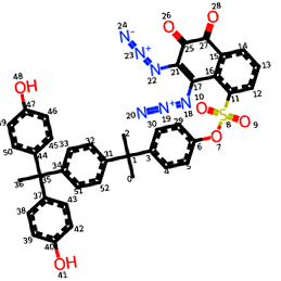 CC(C)(c1ccc(OS(=O)(=O)c2cccc3c2C(N=[N+]=[N-])=C(N=[N+]=[N-])C(=O)C3=O)cc1)c1ccc(C(C)(c2ccc(O)cc2)c2ccc(O)cc2)cc1